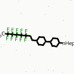 CCCCCCCC1CCC(C2CCC(CCC(F)(F)C(F)(F)C(F)(F)C(F)(F)C(F)(F)C(F)(F)F)CC2)CC1